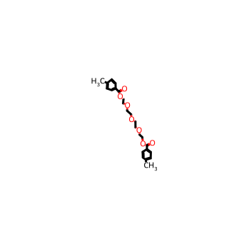 Cc1ccc(C(=O)OCCOCCOCCOCCOC(=O)c2ccc(C)cc2)cc1